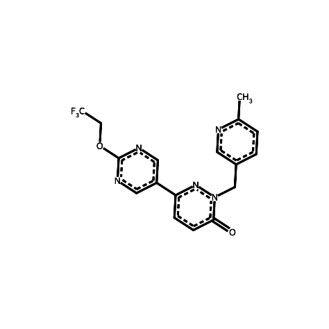 Cc1ccc(Cn2nc(-c3cnc(OCC(F)(F)F)nc3)ccc2=O)cn1